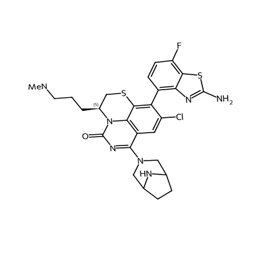 CNCCC[C@H]1CSc2c(-c3ccc(F)c4sc(N)nc34)c(Cl)cc3c(N4CC5CCC(C4)N5)nc(=O)n1c23